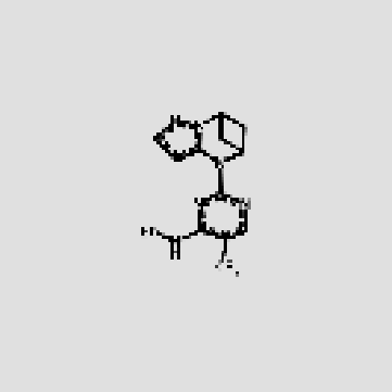 CCNc1nc(N2c3ccnn3C3CC2C3)ncc1C(F)(F)F